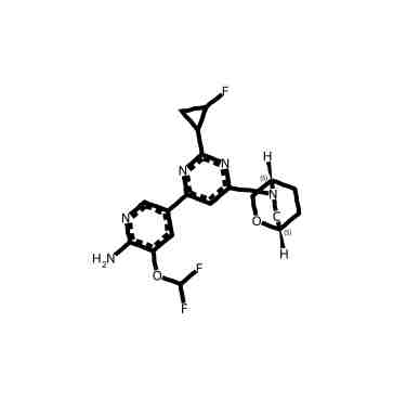 Nc1ncc(-c2cc(N3C[C@@H]4CC[C@H]3CO4)nc(C3CC3F)n2)cc1OC(F)F